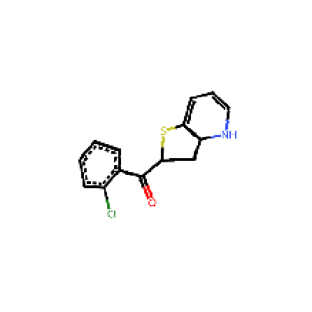 O=C(c1ccccc1Cl)C1CC2NC=CC=C2S1